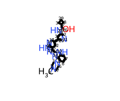 CN1CCN(c2cccc3[nH]c(-c4n[nH]c5ncc(-c6cncc(NC(O)C7CCC7)c6)cc45)nc23)CC1